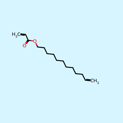 C=CCCCCCCCCCCOC(=O)C=C